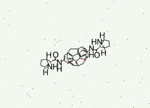 O=C(Nc1ccc(-c2cc3ccc2CCc2ccc(c(-c4ccc(NC(=O)[C@H]5N[C@@H]6CC[C@H]5C6)cc4)c2)CC3)cc1)[C@H]1N[C@@H]2CC[C@H]1C2